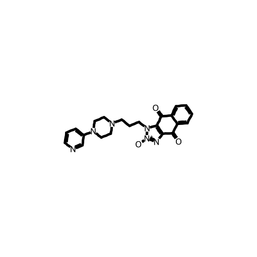 O=C1c2ccccc2C(=O)c2c1n[n+]([O-])n2CCCN1CCN(c2cccnc2)CC1